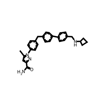 Cc1cc(C(N)=O)nn1-c1ccc(Cc2ccc(-c3ccc(CNC4CCC4)cc3)cc2)cc1